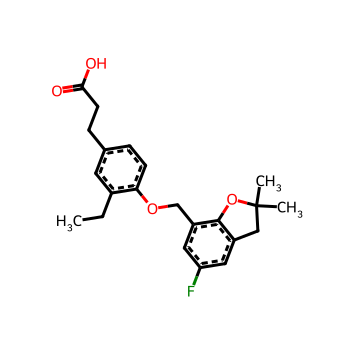 CCc1cc(CCC(=O)O)ccc1OCc1cc(F)cc2c1OC(C)(C)C2